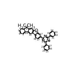 CC1(C)c2ccccc2-c2cc3c(cc21)oc1cc(-c2nc(-c4ccccc4)nc(-c4ccccc4)n2)ccc13